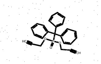 C#CCOP(=O)(OCC#C)C(c1ccccc1)(c1ccccc1)c1ccccc1